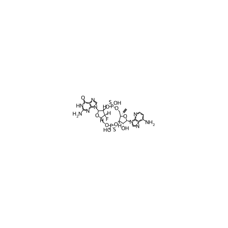 C#C[C@@]12COP(O)(=S)O[C@@H]3[C@H](F)[C@@H](COP(O)(=S)O[C@H]1[C@@H](O)[C@H](n1cnc4c(N)ccnc41)O2)O[C@H]3n1cnc2c(=O)[nH]c(N)nc21